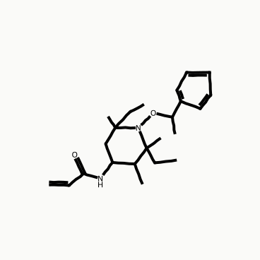 C=CC(=O)NC1CC(C)(CC)N(OC(C)c2ccccc2)C(C)(CC)C1C